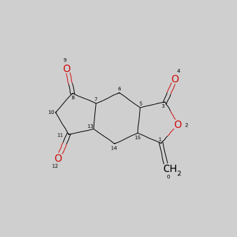 C=C1OC(=O)C2CC3C(=O)CC(=O)C3CC12